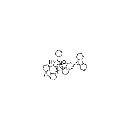 c1ccc(C2=NC(c3ccccc3)NC(c3cccc4oc5cccc(-c6ccc7oc8cc(-n9c%10ccccc%10c%10ccccc%109)ccc8c7c6)c5c34)N2)cc1